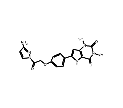 CCCn1c(=O)c2[nH]c(-c3ccc(OCC(=O)n4ccc(N)n4)cc3)cc2n(CCC)c1=O